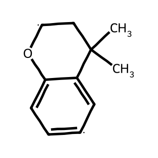 CC1(C)C[CH]Oc2cc[c]cc21